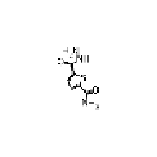 NNC(=O)c1ccc(C(N)=O)s1